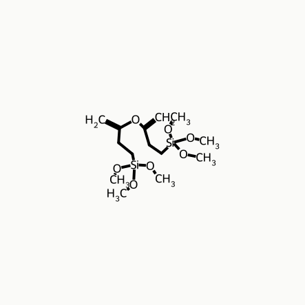 C=C(CC[Si](OC)(OC)OC)OC(=C)CC[Si](OC)(OC)OC